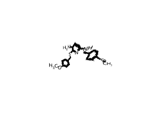 COc1ccc(CNc2ccc(N)c(SCc3ccc(OC)cc3)n2)cc1